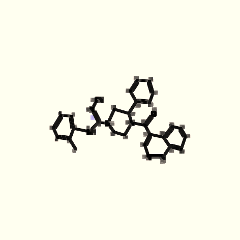 Cc1ccccc1N/C(=N/C#N)N1CCN(C(=O)c2cnnc3ccccc23)C(c2ccccc2)C1